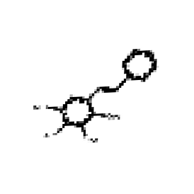 CC(=O)Oc1cc(C=Cc2ccccc2)c(OC(C)=O)c(OC(C)=O)c1OC(C)=O